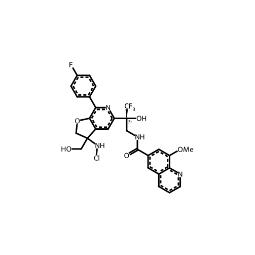 COc1cc(C(=O)NC[C@@](O)(c2cc3c(c(-c4ccc(F)cc4)n2)OCC3(CO)NCl)C(F)(F)F)cc2cccnc12